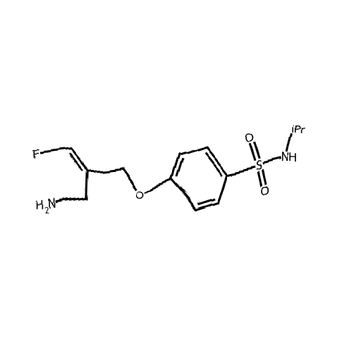 CC(C)NS(=O)(=O)c1ccc(OCC(=CF)CN)cc1